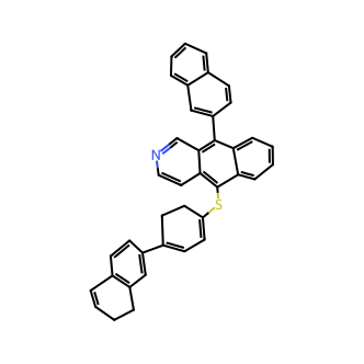 C1=Cc2ccc(C3=CC=C(Sc4c5ccccc5c(-c5ccc6ccccc6c5)c5cnccc45)CC3)cc2CC1